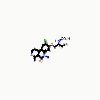 Cc1nccc2c1c(=O)n(C)c1cc(OCC(CC(C)C)NC(=O)O)c(Br)cc21